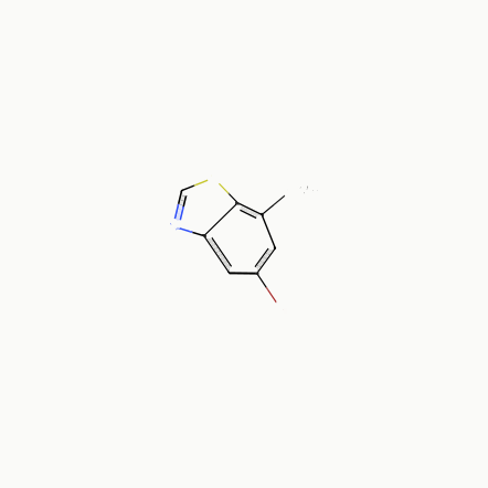 COc1cc(Br)cc2ncsc12